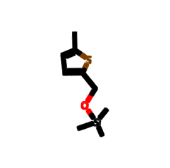 Cc1ccc(CO[Si](C)(C)C)s1